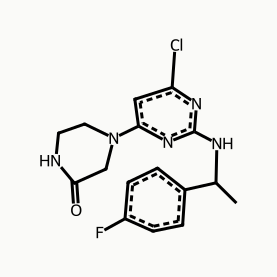 CC(Nc1nc(Cl)cc(N2CCNC(=O)C2)n1)c1ccc(F)cc1